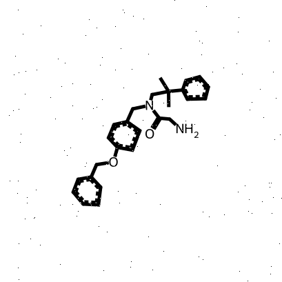 CC(C)(CN(Cc1ccc(OCc2ccccc2)cc1)C(=O)CN)c1ccccc1